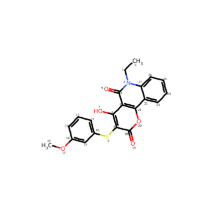 CCn1c(=O)c2c(O)c(Sc3cccc(OC)c3)c(=O)oc2c2ccccc21